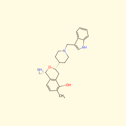 Cc1ccc2c(c1O)C[C@@H](C1CCN(Cc3c[nH]c4ccccc34)CC1)O[C@H]2CN